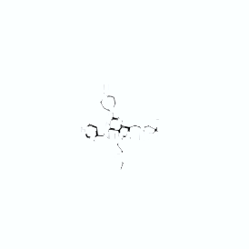 CCOCCn1nc(CNCC(F)(F)F)c2nc(N3CCNCC3)nc(Nc3ccncn3)c21